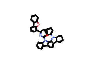 C1=CC2c3ccc4c5ccccc5n(-c5cccc(-c6cccc7c6oc6ccccc67)n5)c4c3N(c3ccccc3)C2C=C1